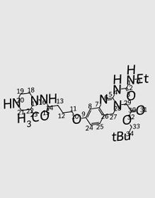 CCNC(=O)NC1=Nc2cc(OCCCC(=O)NN3CCNCC3C)ccc2CN1CC(=O)OCC(C)(C)C